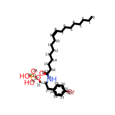 CCCCCCCC/C=C\CCCCCCCC(=O)N[C@@H](COP(=O)(O)O)Cc1ccc(Br)cc1